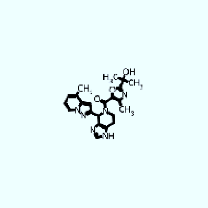 Cc1nc(C(C)(C)O)oc1C(=O)N1CCc2[nH]cnc2C1c1cc2c(C)cccn2n1